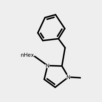 CCCCCCN1C=CN(C)C1Cc1ccccc1